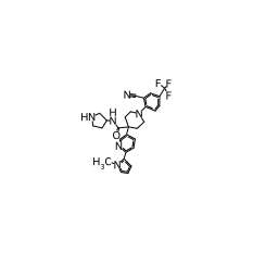 Cn1cccc1-c1ccc(C2(C(=O)N[C@H]3CCNC3)CCN(c3ccc(C(F)(F)F)cc3C#N)CC2)cn1